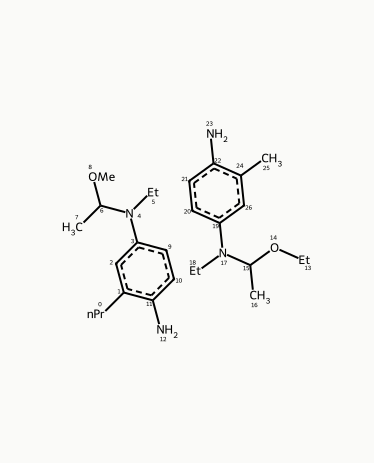 CCCc1cc(N(CC)C(C)OC)ccc1N.CCOC(C)N(CC)c1ccc(N)c(C)c1